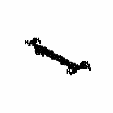 COc1cc(C(=O)Oc2ccc(C(=O)Oc3ccc(-c4ccc(OC(=O)c5ccc(OC(=O)c6ccc(OCCC(C)OC)c(OC)c6)cc5)cc4)cc3)cc2)ccc1OCCC(C)OC